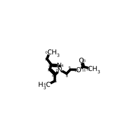 CCc1cc(CC)n(CCOC(C)=O)n1